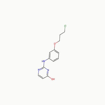 Oc1ccnc(Nc2cccc(OCCCCl)c2)n1